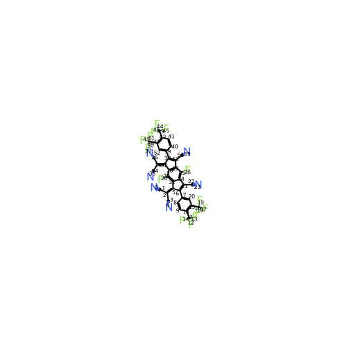 N#CC(C#N)=C1C(c2ccc(C(F)(F)F)c(C(F)(F)F)c2)=C(C#N)c2c(F)c3c(c(F)c21)C(=C(C#N)C#N)C(c1ccc(C(F)(F)F)c(C(F)(F)F)c1)=C3C#N